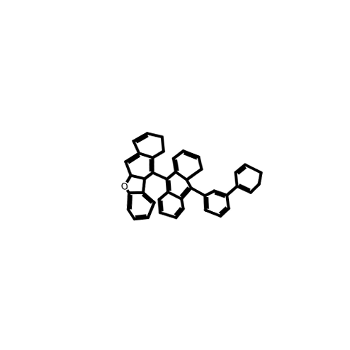 C1=CCC2C(=C1)C(C1=C3CCC=CC3=CC3Oc4ccccc4C13)=c1ccccc1=C2c1cccc(C2=CCCC=C2)c1